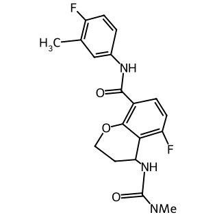 CNC(=O)NC1CCOc2c(C(=O)Nc3ccc(F)c(C)c3)ccc(F)c21